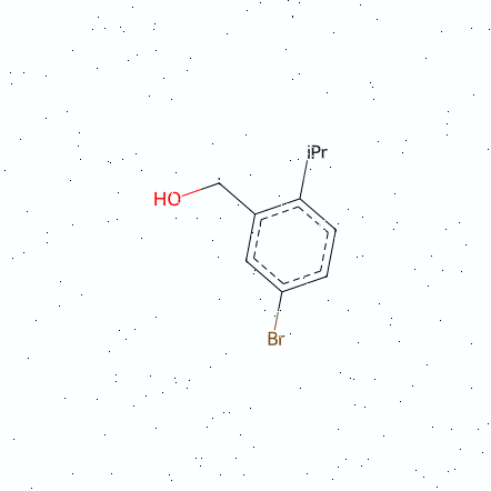 CC(C)c1ccc(Br)cc1[CH]O